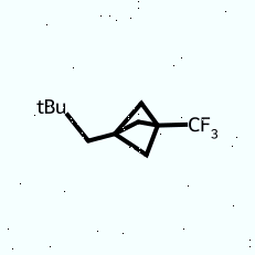 CC(C)(C)CC12CC(C(F)(F)F)(C1)C2